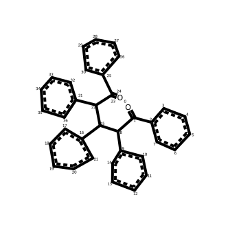 O=C(c1ccccc1)C(c1ccccc1)C(c1ccccc1)C(C(=O)c1ccccc1)c1ccccc1